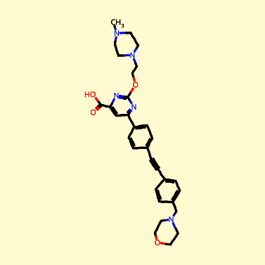 CN1CCN(CCOc2nc(C(=O)O)cc(-c3ccc(C#Cc4ccc(CN5CCOCC5)cc4)cc3)n2)CC1